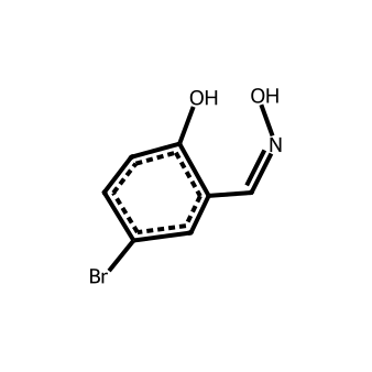 O/N=C\c1cc(Br)ccc1O